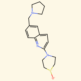 [O-][S+]1CCN(c2ccc3cc(CN4CCCC4)ccc3n2)CC1